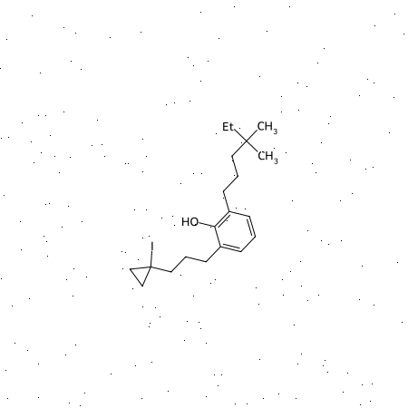 CCC(C)(C)CCCc1cccc(CCCC2(I)CC2)c1O